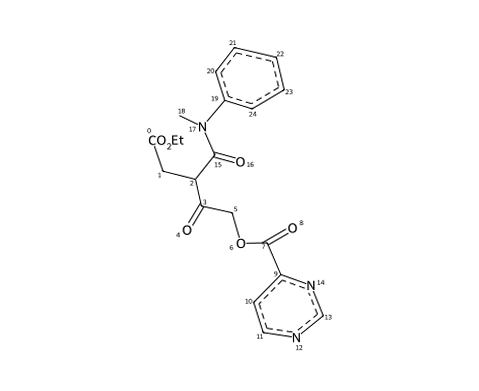 CCOC(=O)CC(C(=O)COC(=O)c1ccncn1)C(=O)N(C)c1ccccc1